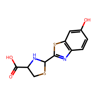 O=C(O)C1CSC(c2nc3ccc(O)cc3s2)N1